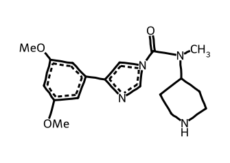 COc1cc(OC)cc(-c2cn(C(=O)N(C)C3CCNCC3)cn2)c1